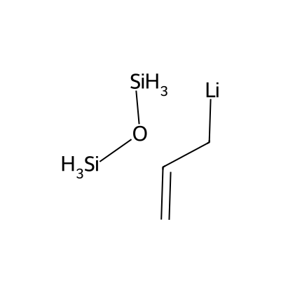 [Li][CH2]C=C.[SiH3]O[SiH3]